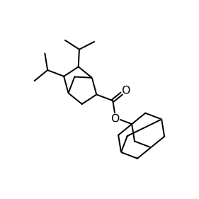 CC(C)C1C2CC(C(=O)OC34CC5CC(CC(C5)C3)C4)C(C2)C1C(C)C